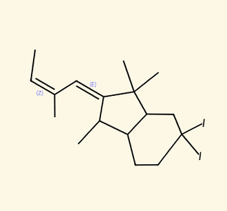 C/C=C(C)\C=C1/C(C)C2CCC(I)(I)CC2C1(C)C